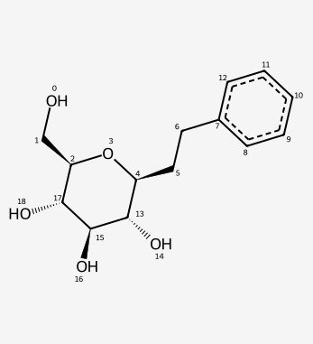 OC[C@H]1O[C@@H](CCc2ccccc2)[C@H](O)[C@@H](O)[C@@H]1O